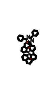 c1ccc(-c2nc(-c3ccccc3)nc(-c3ccc4c(c3)S(c3cccc5ccccc35)(c3cccc5ccccc35)c3ccccc3-4)n2)cc1